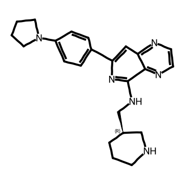 c1cnc2c(NC[C@@H]3CCCNC3)nc(-c3ccc(N4CCCC4)cc3)cc2n1